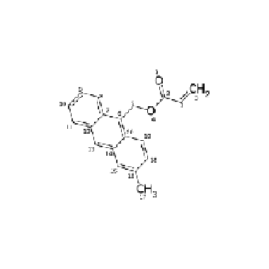 C=CC(=O)OCc1c2ccccc2cc2cc(C)ccc12